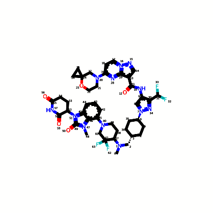 CN(C[C@H]1CC[C@H](n2cc(NC(=O)c3cnn4ccc(N5CCOC6(CC6)C5)nc34)c(C(F)F)n2)CC1)C1CCN(c2cccc3c2n(C)c(=O)n3C2CCC(=O)NC2=O)CC1(F)F